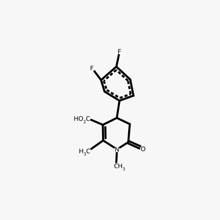 CC1=C(C(=O)O)C(c2ccc(F)c(F)c2)CC(=O)N1C